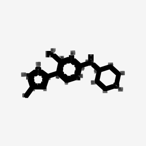 Cc1cc(-c2cnc(NC3CCOCC3)nc2C(C)C)on1